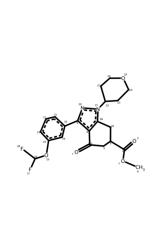 COC(=O)C1CC(=O)c2c(-c3cccc(OC(F)F)c3)nn(C3CCOCC3)c2C1